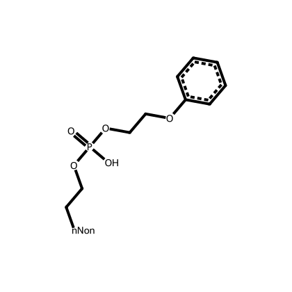 CCCCCCCCCCCOP(=O)(O)OCCOc1ccccc1